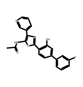 CC(=O)Nc1oc(-c2ccc(-c3cccc(F)c3)cc2O)nc1-c1cccnc1